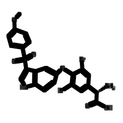 COc1ccc(S(=O)(=O)c2c[nH]c3ccc(Oc4c(Br)cc([C@H](N)C(=O)O)cc4Br)cc23)cc1